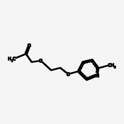 CC(=O)COCCOc1ccc(C)nc1